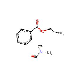 CCOC(=O)c1ccccc1.CN(C)C=O